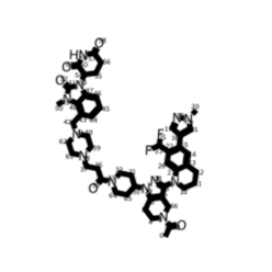 CC(=O)N1CCc2c(c(N3CCCc4cc(-c5cnn(C)c5)c(C(F)F)cc43)nn2C2CCN(C(=O)CCN3CCN(Cc4cccc5c4n(C)c(=O)n5C4CCC(=O)NC4=O)CC3)CC2)C1